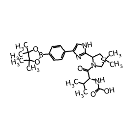 CC(C)[C@H](NC(=O)O)C(=O)N1C[Si](C)(C)CC1c1nc(-c2ccc(B3OC(C)(C)C(C)(C)O3)cc2)c[nH]1